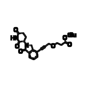 CC(C)(C)OC(=O)CCOCC#Cc1cccc2c1CN(C1CCC(=O)NC1=O)C2=O